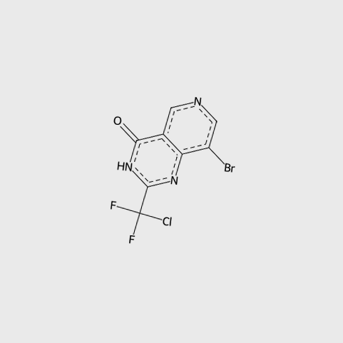 O=c1[nH]c(C(F)(F)Cl)nc2c(Br)cncc12